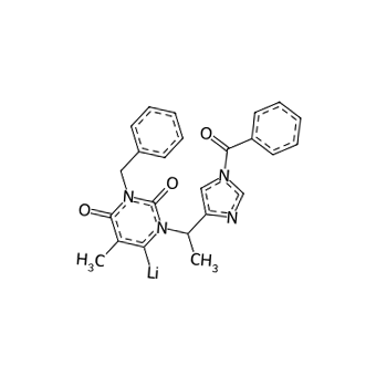 [Li][c]1c(C)c(=O)n(Cc2ccccc2)c(=O)n1C(C)c1cn(C(=O)c2ccccc2)cn1